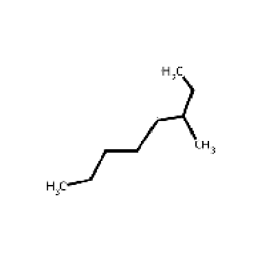 [CH2]CC(C)[CH]CCCC